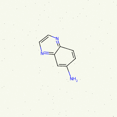 Nc1ccc2nccnc2c1